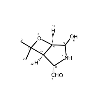 CC1(C)O[C@H]2C(O)N[C@H](C=O)[C@H]21